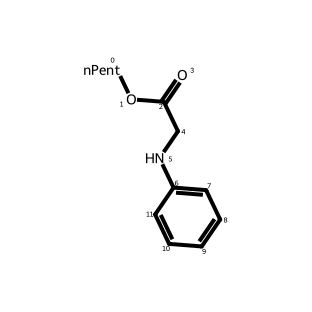 CCCCCOC(=O)CNc1ccccc1